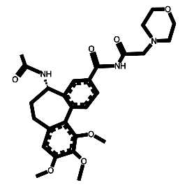 COc1cc2c(c(OC)c1OC)-c1ccc(C(=O)NC(=O)CN3CCOCC3)cc1[C@@H](NC(C)=O)CC2